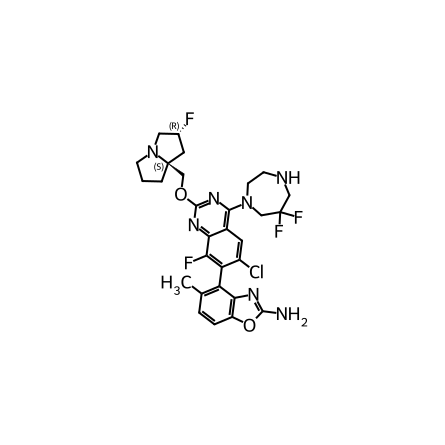 Cc1ccc2oc(N)nc2c1-c1c(Cl)cc2c(N3CCNCC(F)(F)C3)nc(OC[C@@]34CCCN3C[C@H](F)C4)nc2c1F